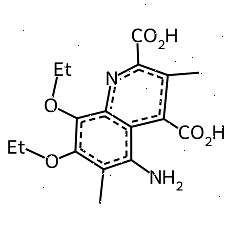 CCOc1c(C)c(N)c2c(C(=O)O)c(C)c(C(=O)O)nc2c1OCC